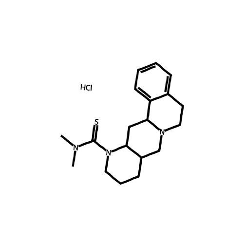 CN(C)C(=S)N1CCCC2CN3CCc4ccccc4C3CC21.Cl